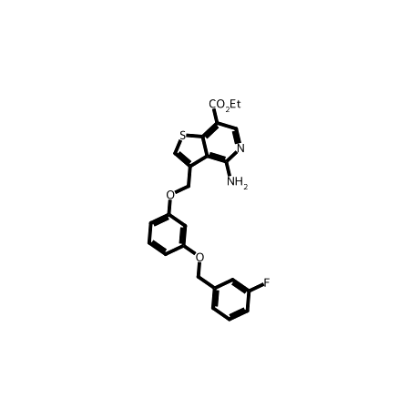 CCOC(=O)c1cnc(N)c2c(COc3cccc(OCc4cccc(F)c4)c3)csc12